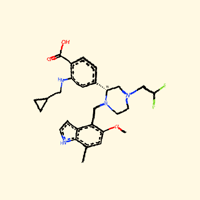 COc1cc(C)c2[nH]ccc2c1CN1CCN(CC(F)F)C[C@H]1c1ccc(C(=O)O)c(NCC2CC2)c1